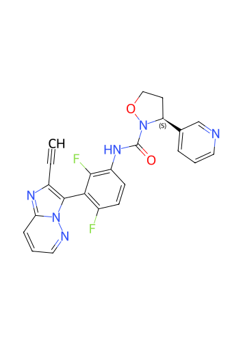 C#Cc1nc2cccnn2c1-c1c(F)ccc(NC(=O)N2OCC[C@H]2c2cccnc2)c1F